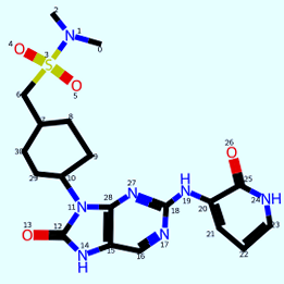 CN(C)S(=O)(=O)CC1CCC(n2c(=O)[nH]c3cnc(Nc4ccc[nH]c4=O)nc32)CC1